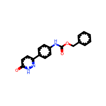 O=C(Nc1ccc(-c2ccc(=O)[nH]n2)cc1)OCc1ccccc1